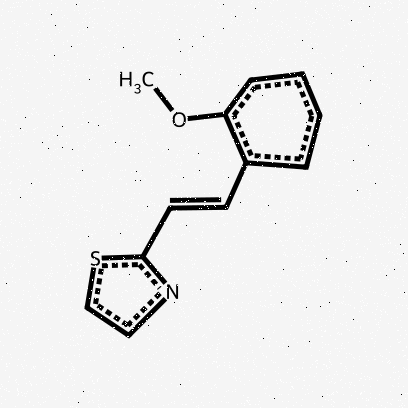 COc1ccccc1/C=C/c1nccs1